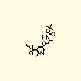 CCOC(=O)c1cc(OC[C@H](C)NC(=O)OC(C)(C)C)cnc1C